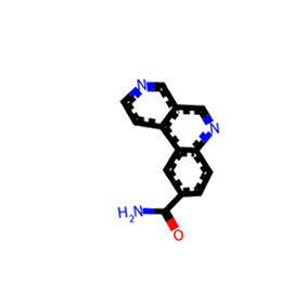 NC(=O)c1ccc2ncc3cnccc3c2c1